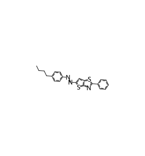 CCCCc1ccc(N=Nc2cc3sc(-c4ccccc4)nc3s2)cc1